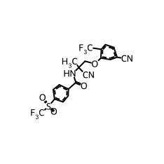 CC(C#N)(COc1cc(C#N)ccc1C(F)(F)F)NC(=O)c1ccc(S(=O)(=O)C(F)(F)F)cc1